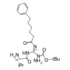 CC(C)[C@H](N)C(=O)N/C(=N\C(=O)CCCCCc1ccccc1)N(N)C(=O)OC(C)(C)C